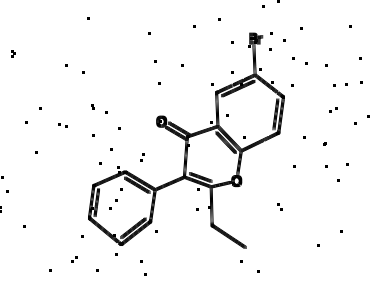 CCc1oc2ccc(Br)cc2c(=O)c1-c1ccccc1